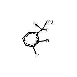 CCc1c(Br)cccc1C(F)(F)C(=O)O